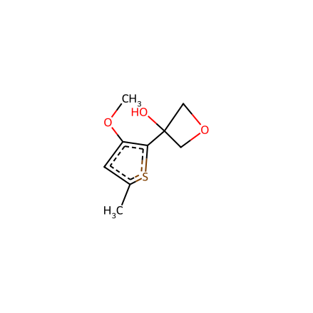 COc1cc(C)sc1C1(O)COC1